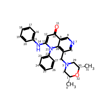 C[C@@H]1CN(Cc2cncc3c(=O)cc(Nc4ccccc4)n(-c4ccccc4)c23)C[C@H](C)O1